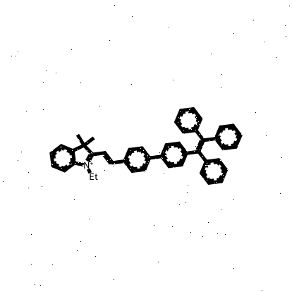 CC[N+]1=C(/C=C/c2ccc(-c3ccc(C(=C(c4ccccc4)c4ccccc4)c4ccccc4)cc3)cc2)C(C)(C)c2ccccc21